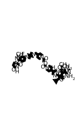 Cn1nc(N2CCC(=O)NC2=O)c2ccc(N3CC4(CN(CC5CCN(C(=O)COC(=O)N6CCC(c7cnc(-c8c(-c9nn(C(C)(C)C)c%10ncnc(N)c9%10)noc8C8CC8)nc7)CC6)CC5)C4)C3)c(F)c21